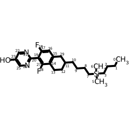 CCCC[Si](C)(C)CCCCC1CCc2c(cc(F)c(-c3ncc(O)cn3)c2F)C1